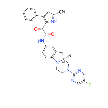 N#Cc1cc(-c2ccccc2)c(C(=O)C(=O)Nc2ccc3c(c2)C[C@H]2CN(c4ncc(F)cn4)CCN32)[nH]1